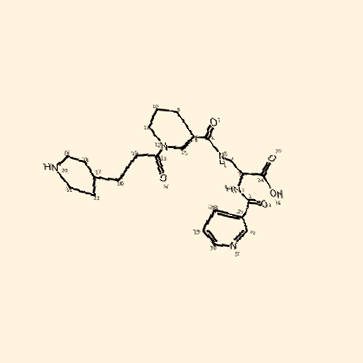 O=C(NC(CNC(=O)[C@@H]1CCCN(C(=O)CCC2CCNCC2)C1)C(=O)O)c1cccnc1